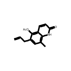 C=CCc1cc(C)c2[nH]c(=O)ccc2c1OC(C)=O